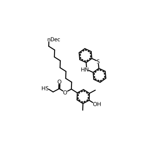 CCCCCCCCCCCCCCCCCCC(OC(=O)CS)c1cc(C)c(O)c(C)c1.c1ccc2c(c1)Nc1ccccc1S2